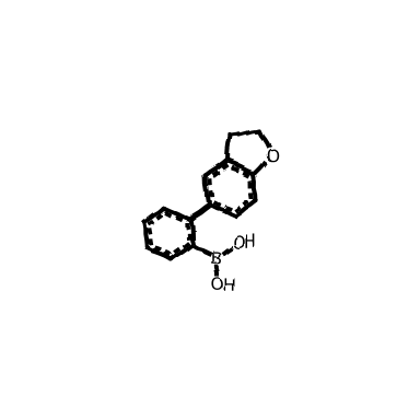 OB(O)c1ccccc1-c1ccc2c(c1)CCO2